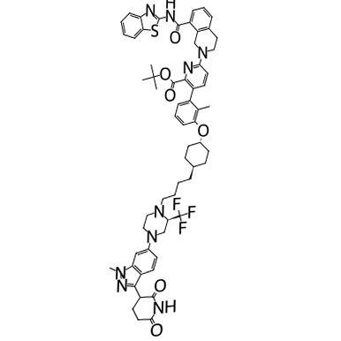 Cc1c(O[C@H]2CC[C@H](CCCCN3CCN(c4ccc5c(C6CCC(=O)NC6=O)nn(C)c5c4)C[C@@H]3C(F)(F)F)CC2)cccc1-c1ccc(N2CCc3cccc(C(=O)Nc4nc5ccccc5s4)c3C2)nc1C(=O)OC(C)(C)C